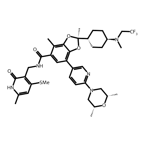 CSc1cc(C)[nH]c(=O)c1CNC(=O)c1cc(-c2ccc(N3C[C@@H](C)O[C@@H](C)C3)nc2)c2c(c1C)O[C@@](C)([C@H]1CC[C@H](N(C)CC(F)(F)F)CC1)O2